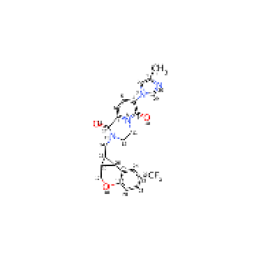 Cc1cn(-c2ccc3n(c2=O)CCN(CC2C4COc5ccc(C(F)(F)F)cc5C42)C3=O)cn1